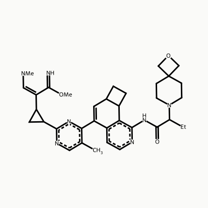 CCC(C(=O)Nc1nccc2c1C1CCC1C=C2c1nc(C2CC2/C(=C/NC)C(=N)OC)ncc1C)N1CCC2(CC1)COC2